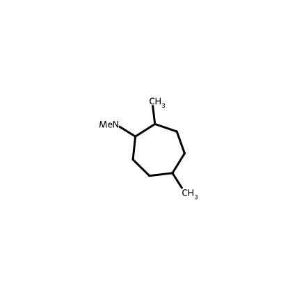 CNC1CCC(C)CCC1C